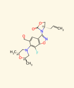 C=CC[C@H]1COC(=O)N1c1noc2c(F)c(N3C[C@@H](C)O[C@H](C)C3)c(C=O)cc12